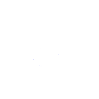 C=C(/C=C\C(=C/C)CNCC(C)F)c1nnc(-c2nc(-c3ccc(S(=O)(=O)C(C)CCF)cc3)cnc2N)o1